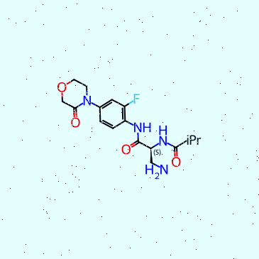 CC(C)C(=O)N[C@@H](CN)C(=O)Nc1ccc(N2CCOCC2=O)cc1F